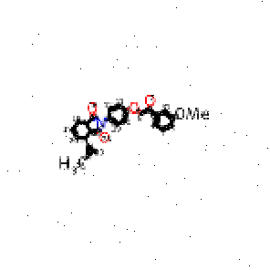 COc1cccc(C(=O)COc2ccc(N3C(=O)C4CC=CC([C@H]5C[C@H]5C)C4C3=O)cc2)c1